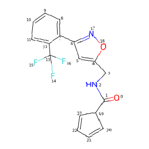 O=C(NCc1cc(-c2ccccc2C(F)(F)F)no1)C1C=CC=C1